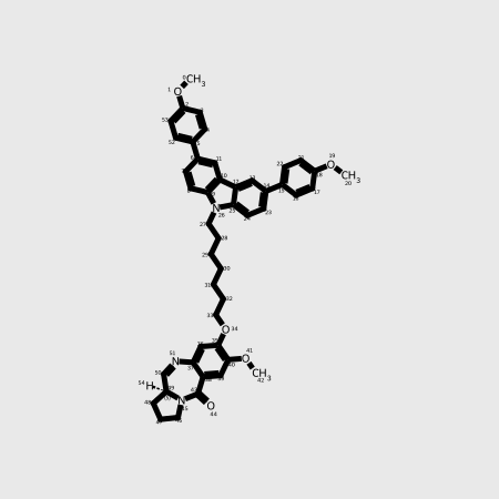 COc1ccc(-c2ccc3c(c2)c2cc(-c4ccc(OC)cc4)ccc2n3CCCCCCCOc2cc3c(cc2OC)C(=O)N2CCC[C@H]2C=N3)cc1